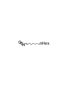 CCCCCCCCCCCC/C=C/N=C=O